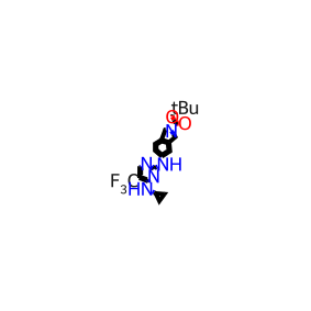 CC(C)(C)OC(=O)N1Cc2ccc(Nc3ncc(C(F)(F)F)c(NC4CC4)n3)cc2C1